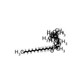 CCCCCCCCCCCCCCCCCC(=O)OCC1(C)COC(C(C)(C)Cc2cc(C(C)(C)C)c(O)c(C(C)(C)C)c2)OC1